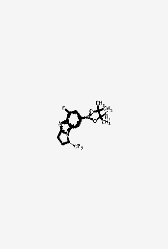 CC1(C)OB(c2cc(F)c3nc4n(c3c2)[C@H](C(F)(F)F)CC4)OC1(C)C